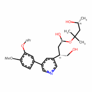 CCCOc1cc(-c2cncc([C@@H](CO)CB(O)OC(C)(C)C[C@@H](C)O)c2)ccc1OC